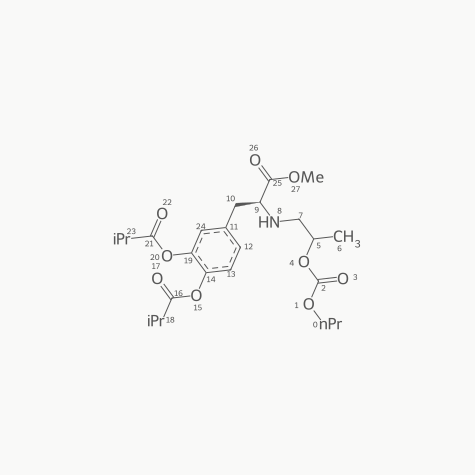 CCCOC(=O)OC(C)CN[C@@H](Cc1ccc(OC(=O)C(C)C)c(OC(=O)C(C)C)c1)C(=O)OC